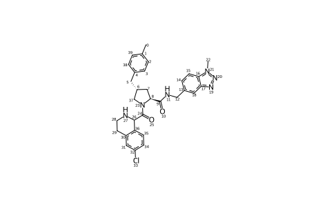 Cc1ccc(C[C@@H]2C[C@@H](C(=O)NCc3ccc4c(c3)nnn4C)N(C(=O)C3NCCc4cc(Cl)ccc43)C2)cc1